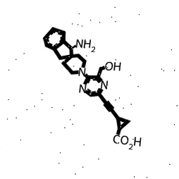 N[C@@H]1c2ccccc2CC12CCN(c1ncc(C#CC3CC3C(=O)O)nc1CO)CC2